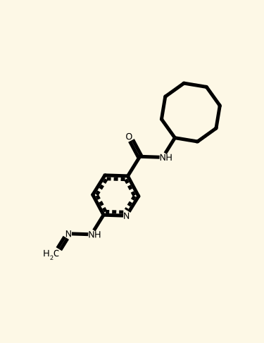 C=NNc1ccc(C(=O)NC2CCCCCCC2)cn1